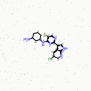 NC1CCCC(Nc2nc(-c3c[nH]c4c3=CC(Cl)CN=4)ncc2F)C1